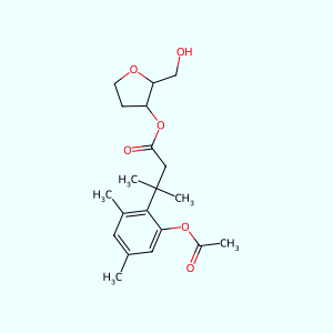 CC(=O)Oc1cc(C)cc(C)c1C(C)(C)CC(=O)OC1CCOC1CO